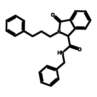 O=C(NCc1ccccc1)C1c2ccccc2C(=O)N1CCCc1ccccc1